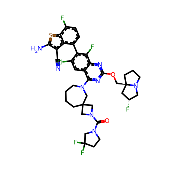 N#Cc1c(N)sc2c(F)ccc(-c3c(Cl)cc4c(N5CCCCC6(CN(C(=O)N7CCC(F)(F)C7)C6)C5)nc(OC[C@@]56CCCN5C[C@H](F)C6)nc4c3F)c12